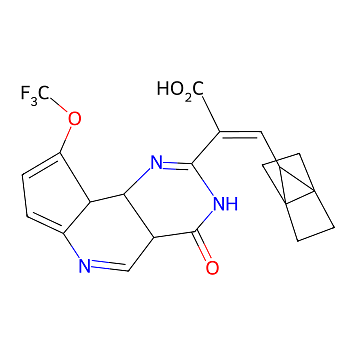 O=C(O)/C(=C/C1C23CCC12CC3)C1=NC2C(C=NC3=CC=C(OC(F)(F)F)C32)C(=O)N1